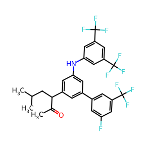 CC(=O)C(CC(C)C)c1cc(Nc2cc(C(F)(F)F)cc(C(F)(F)F)c2)cc(-c2cc(F)cc(C(F)(F)F)c2)c1